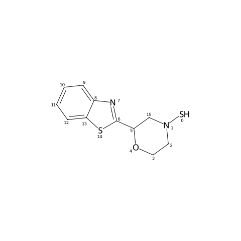 SN1CCOC(c2nc3ccccc3s2)C1